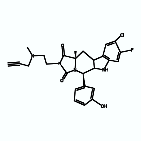 C#CCN(C)CCN1C(=O)N2[C@H](c3cccc(O)c3)C3Nc4cc(F)c(Cl)cc4C3C[C@@]2(C)C1=O